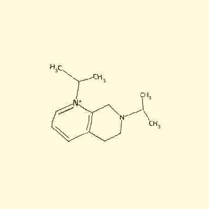 CC(C)N1CCc2ccc[n+](C(C)C)c2C1